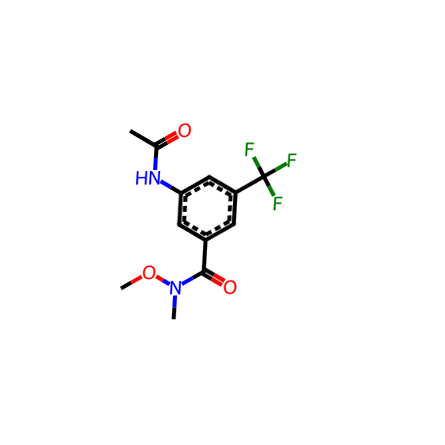 CON(C)C(=O)c1cc(NC(C)=O)cc(C(F)(F)F)c1